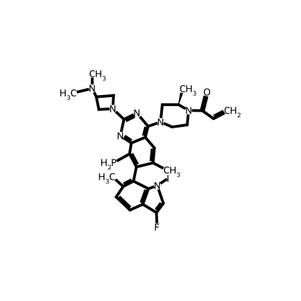 C=CC(=O)N1CCN(c2nc(N3CC(N(C)C)C3)nc3c(P)c(-c4c(C)ccc5c(F)cn(I)c45)c(C)cc23)C[C@H]1C